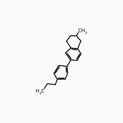 CCCc1ccc(-c2ccc3c(c2)CCC(C)C3)cc1